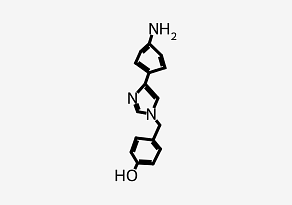 Nc1ccc(-c2cn(Cc3ccc(O)cc3)cn2)cc1